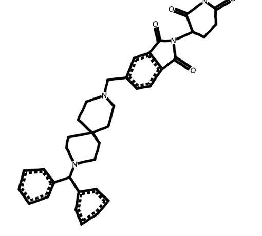 O=C1CCC(N2C(=O)c3ccc(CN4CCC5(CC4)CCN(C(c4ccccc4)c4ccccc4)CC5)cc3C2=O)C(=O)N1